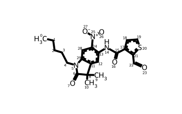 CCCCCN1C(=O)C(C)(C)c2cc(NC(=O)c3ccsc3C=O)c([N+](=O)[O-])cc21